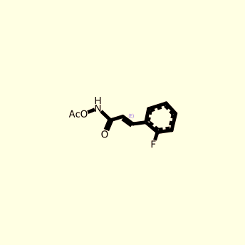 CC(=O)ONC(=O)/C=C/c1ccccc1F